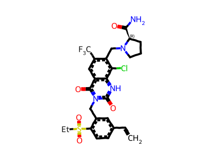 C=Cc1ccc(S(=O)(=O)CC)c(Cn2c(=O)[nH]c3c(Cl)c(CN4CCC[C@@H]4C(N)=O)c(C(F)(F)F)cc3c2=O)c1